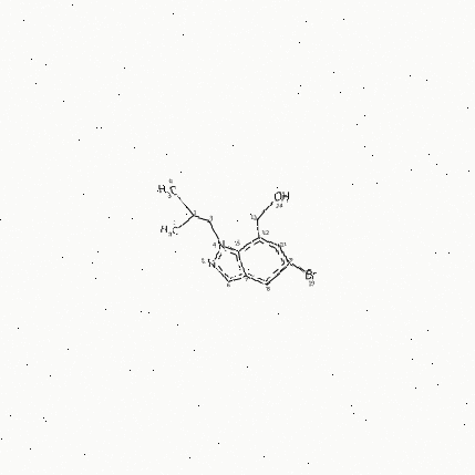 CC(C)Cn1ncc2cc(Br)cc(CO)c21